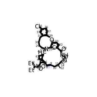 CCN(CC)C(=O)C[C@@]1(O)/C=C/C[C@H](C)[C@@H](C)S(=O)(=O)NC(=O)c2ccc3c(c2)N(CCCCc2cc(Cl)ccc2CO3)C[C@@H]2CC[C@H]21